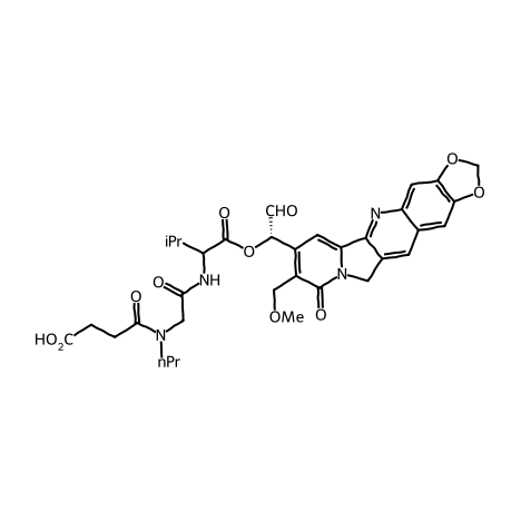 CCCN(CC(=O)NC(C(=O)O[C@H](C=O)c1cc2n(c(=O)c1COC)Cc1cc3cc4c(cc3nc1-2)OCO4)C(C)C)C(=O)CCC(=O)O